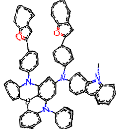 Cn1c2ccccc2c2ccc(N(c3ccc(-c4cc5ccccc5o4)cc3)c3cc4c5c(c3)N(c3ccc(-c6cc7ccccc7o6)cc3)c3ccccc3B5c3ccccc3N4c3ccccc3)cc21